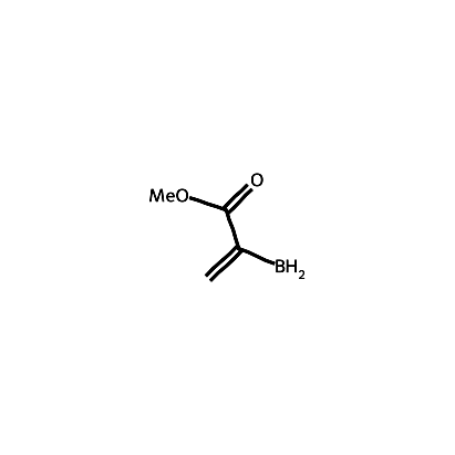 BC(=C)C(=O)OC